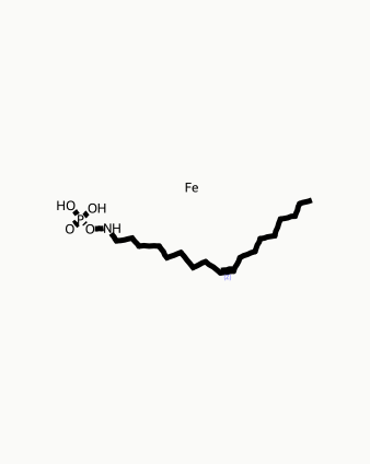 CCCCCCCC/C=C\CCCCCCCCNOP(=O)(O)O.[Fe]